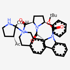 CC(=O)[C@@H]1CCNC1(C(=O)O)[N+]1(C(=O)[C@H]2CC[C@@H](c3ccccc3)N2C(=O)[C@H]2Cc3ccccc3N2C(=O)OC(C)(C)C)CCc2ccccc2C1